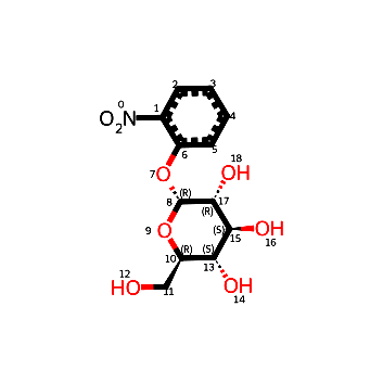 O=[N+]([O-])c1ccccc1O[C@H]1O[C@H](CO)[C@@H](O)[C@H](O)[C@H]1O